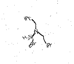 CC(C)CN(CC(C)C)[SiH2]Br